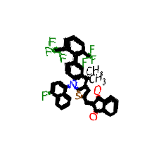 CC1(C)c2cc(-c3c(C(F)(F)F)cccc3C(F)(F)F)ccc2N(c2ccc(F)c3ccccc23)c2sc(C=C3C(=O)c4ccccc4C3=O)cc21